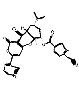 CC(C)[C@@H]1C[C@H](OC(=O)c2ccc(C#N)cc2)[C@@]2(C)Oc3cc(-c4cccnc4)oc(=O)c3C(=O)[C@@H]2C1